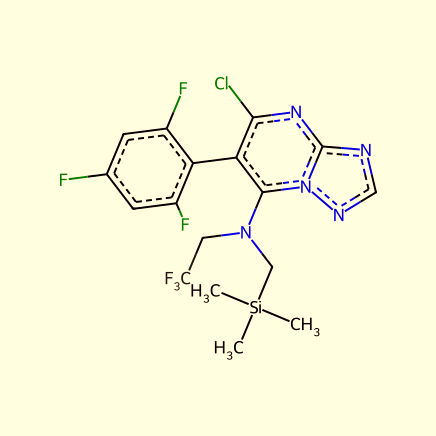 C[Si](C)(C)CN(CC(F)(F)F)c1c(-c2c(F)cc(F)cc2F)c(Cl)nc2ncnn12